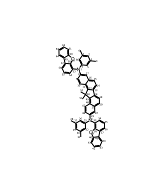 Cc1cc(C)cc(N(c2ccc3c4c(ccc3c2)-c2ccc3cc(N(c5cc(C)cc(C)c5)c5cccc6c5oc5ccccc56)ccc3c2C4(C)C)c2cccc3c2oc2ccccc23)c1